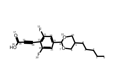 CCCCCC1COC(c2cc(F)c(C#CC(=O)O)c(F)c2)OC1